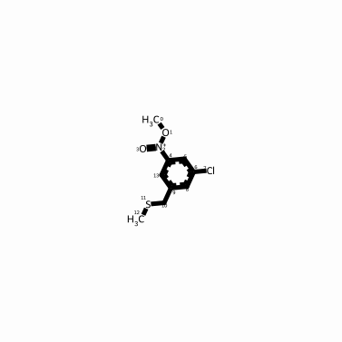 CO[N+](=O)c1cc(Cl)cc(CSC)c1